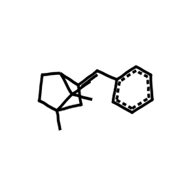 CC12CCC(C(=Cc3ccccc3)C1)C2(C)C